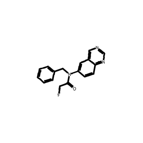 O=C(CF)N(Cc1ccccc1)c1ccc2ncncc2c1